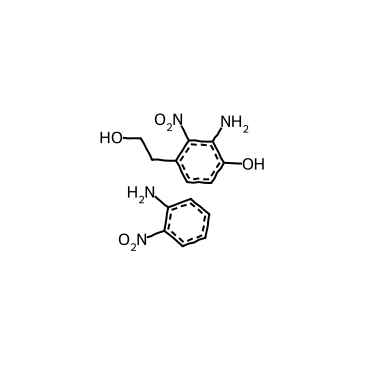 Nc1c(O)ccc(CCO)c1[N+](=O)[O-].Nc1ccccc1[N+](=O)[O-]